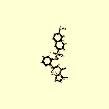 COc1ccc2cc(S(=O)(=O)Nc3ccccc3C(N)=NC(C)n3nccc3C)ccc2c1